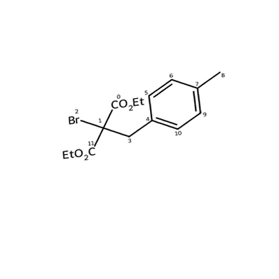 CCOC(=O)C(Br)(Cc1ccc(C)cc1)C(=O)OCC